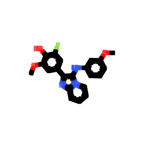 COc1cccc(Nc2c(-c3cc(F)c(O)c(OC)c3)nc3ccccn23)c1